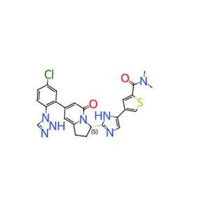 CN(C)C(=O)c1cc(-c2cnc([C@@H]3CCc4cc(-c5cc(Cl)ccc5-n5cn[nH]5)cc(=O)n43)[nH]2)cs1